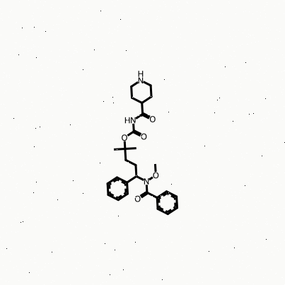 CON(C(=O)c1ccccc1)C(CCC(C)(C)OC(=O)NC(=O)C1CCNCC1)c1ccccc1